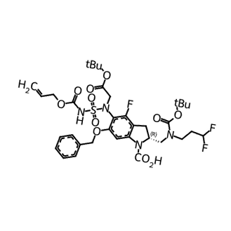 C=CCOC(=O)NS(=O)(=O)N(CC(=O)OC(C)(C)C)c1c(OCc2ccccc2)cc2c(c1F)C[C@H](CN(CCC(F)F)C(=O)OC(C)(C)C)N2C(=O)O